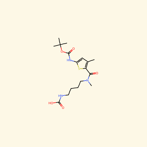 Cc1cc(NC(=O)OC(C)(C)C)sc1C(=O)N(C)CCCCNC(=O)O